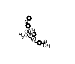 CN(CCCN(Cc1ccc(C(=O)O)cc1)Cc1cccnc1)CC(=O)Nc1ccc(Oc2ccccc2)cc1